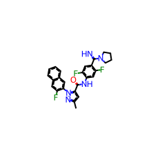 Cc1cc(C(=O)Nc2cc(F)c(C(=N)N3CCCC3)cc2F)n(-c2cc3ccccc3cc2F)n1